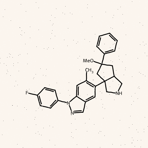 COC1(c2ccccc2)CC2CNCC2(c2cc3cnn(-c4ccc(F)cc4)c3cc2C)C1